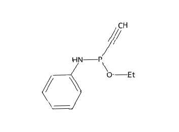 C#CP(Nc1ccccc1)OCC